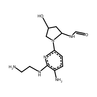 NCCNc1nc(N2CC(O)CC2NC=O)ccc1N